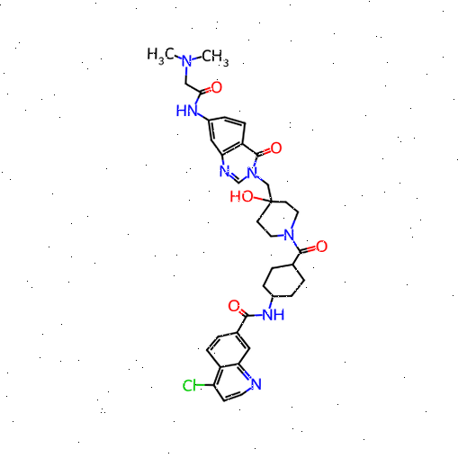 CN(C)CC(=O)Nc1ccc2c(=O)n(CC3(O)CCN(C(=O)C4CCC(NC(=O)c5ccc6c(Cl)ccnc6c5)CC4)CC3)cnc2c1